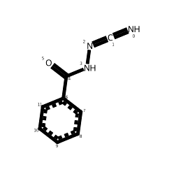 N=C=NNC(=O)c1ccccc1